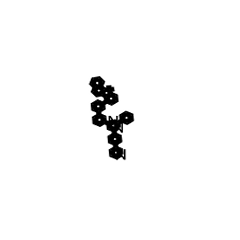 CC1(C)c2cccc(-c3cccc(-c4cccc(-c5cc(-c6ccc(-c7cccnc7)cc6)nc(-c6ccccc6)n5)c4)c3)c2-c2ccc3ccccc3c21